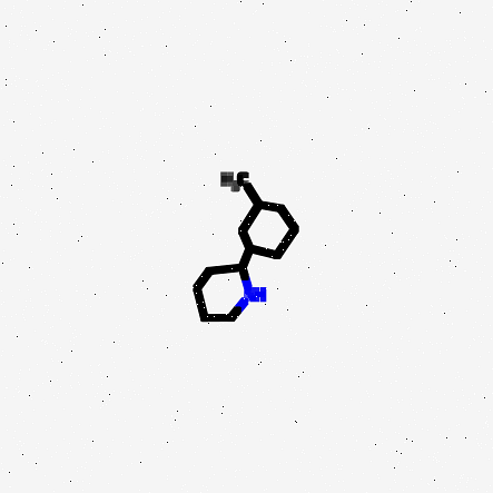 CC1CCCC(C2CCCCN2)C1